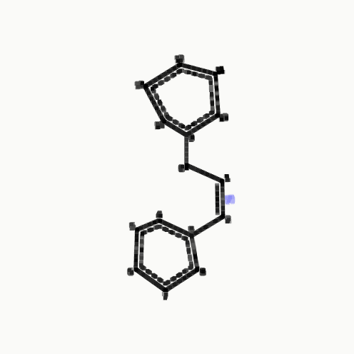 [CH](/C=C\c1ccccc1)c1ccccc1